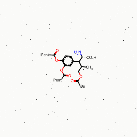 CCCC(C)C(=O)Oc1ccc(C(C(C)COC(=O)C(C)CC)[C@H](N)C(=O)O)cc1OC(=O)C(C)CCC